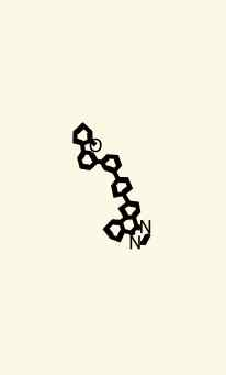 c1cc(-c2ccc(-c3ccc4c(c3)c3ccccc3c3nccnc43)cc2)cc(-c2cccc3c2oc2ccccc23)c1